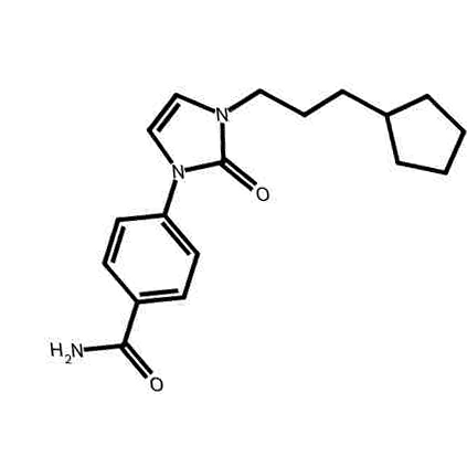 NC(=O)c1ccc(-n2ccn(CCCC3CCCC3)c2=O)cc1